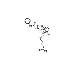 O=C(O)CCC/C=C\C[C@@H]1[C@H](CNCC(=O)Nc2ccccc2)[C@@H]2CC[C@H]1O2